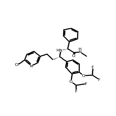 CNC(=O)[C@H](N[C@@H](CCc1ccc(Cl)nc1)c1ccc(OC(F)F)c(OC(F)F)c1)c1ccccc1